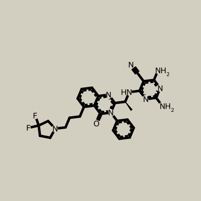 C[C@H](Nc1nc(N)nc(N)c1C#N)c1nc2cccc(CCCN3CCC(F)(F)C3)c2c(=O)n1-c1ccccc1